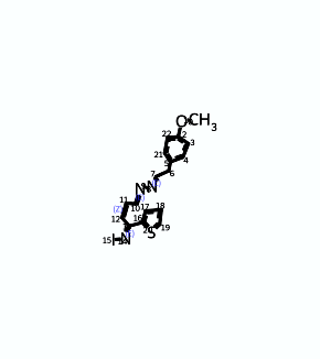 COc1ccc(C/C=N/N=C/C=C\C(=N/I)c2cccs2)cc1